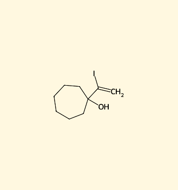 C=C(I)C1(O)CCCCCC1